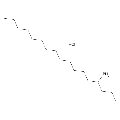 CCCCCCCCCCCCCC(P)CCC.Cl